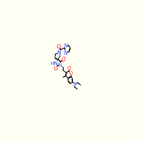 CCN(CC)c1ccc2c(C)c(CCN3C(=O)NC4(CCN(C(=O)c5ncccn5)C4)C3=O)c(=O)oc2c1